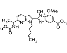 C=CCCCn1c(-c2nc3cc(C(=O)OC(C)C)cc(OC)c3n2C)cc2ccc(C(C)NC(=O)OC(C)(C)C)nc21